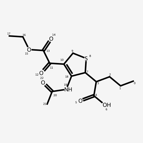 CCCC(C(=O)O)C1SCC(C(=O)C(=O)OCC)=C1NC(C)=O